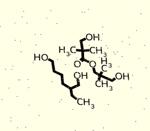 CC(C)(CO)COC(=O)C(C)(C)CO.CCC(CO)CCCCO